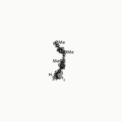 COC(=O)c1ccc(C2=CN3C(=O)c4cc(OC)c(OCCCCCOc5cc6c(cc5OC)C(=O)N5C=C(c7ccc(NC(=O)[C@H](C)NC(=O)[C@@H](N)C(C)C)cc7)C[C@H]5C=N6)cc4N=C[C@@H]3C2)cc1